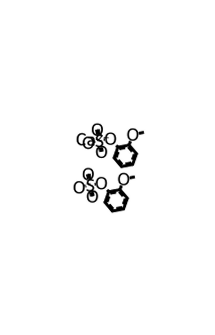 COc1ccccc1OS(=O)(=O)[O-].COc1ccccc1OS(=O)(=O)[O-].[Ca+2]